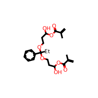 C=C(C)C(=O)OC(O)CCOC(CC)(OCCC(O)OC(=O)C(=C)C)c1ccccc1